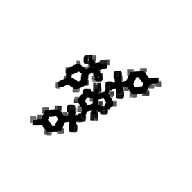 Cc1ccc(S(=O)(=O)Cl)cc1.Cc1ccc(S(=O)(=O)O[C@H]2CO[C@H]3[C@@H]2OC[C@H]3OS(=O)(=O)c2ccc(C)cc2)cc1